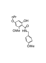 CCCOc1cc(O)c(C(=O)NCc2ccc(OC)cc2)c(OC)c1